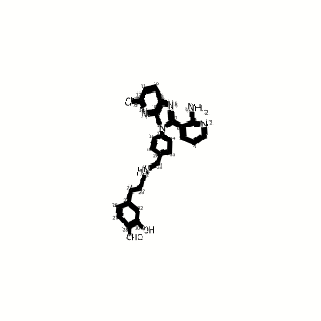 Nc1ncccc1-c1nc2ccc(Cl)nc2n1-c1ccc(CNCCc2ccc(C=O)c(O)c2)cc1